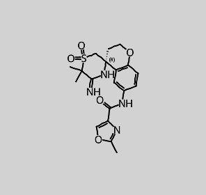 Cc1nc(C(=O)Nc2ccc3c(c2)[C@]2(CCO3)CS(=O)(=O)C(C)(C)C(=N)N2)co1